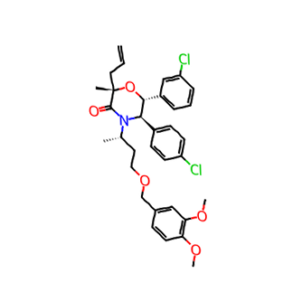 C=CC[C@]1(C)O[C@H](c2cccc(Cl)c2)[C@@H](c2ccc(Cl)cc2)N([C@@H](C)CCOCc2ccc(OC)c(OC)c2)C1=O